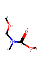 COCN(C)C(=O)OC